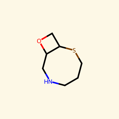 C1CNCC2OCC2SC1